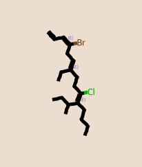 C=C/C=C(/Br)C/C=C(\CC)CC/C(Cl)=C(/CCCC)C(C)CC